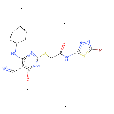 N=Cc1c(NC2CCCCC2)nc(SCC(=O)Nc2nnc(Br)s2)[nH]c1=O